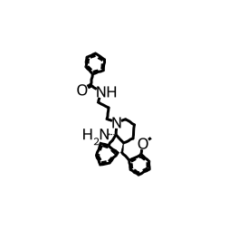 COc1ccccc1C[C@@H]1CCCN(CCCNC(=O)c2ccccc2)[C@]1(N)c1ccccc1